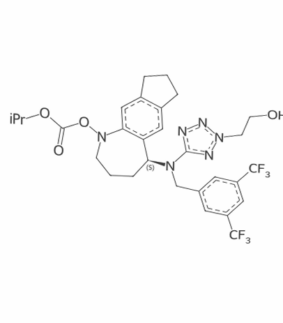 CC(C)OC(=O)ON1CCC[C@H](N(Cc2cc(C(F)(F)F)cc(C(F)(F)F)c2)c2nnn(CCO)n2)c2cc3c(cc21)CCC3